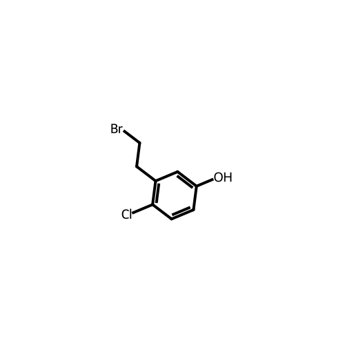 Oc1ccc(Cl)c(CCBr)c1